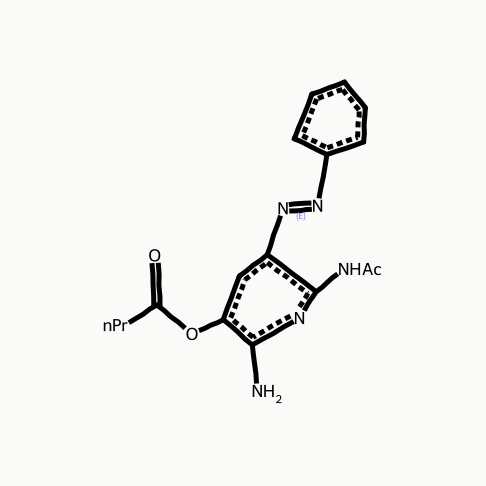 CCCC(=O)Oc1cc(/N=N/c2ccccc2)c(NC(C)=O)nc1N